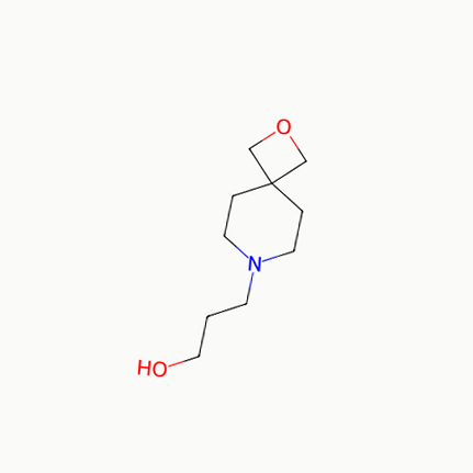 OCCCN1CCC2(CC1)COC2